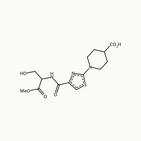 COC(=O)C(CO)NC(=O)c1csc(N2CCC(C(=O)O)CC2)n1